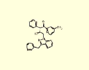 Cc1ccnc(C(=O)C(C(=O)Cn2nc(Cc3ccccc3)c3ccccc32)c2ccccc2)c1